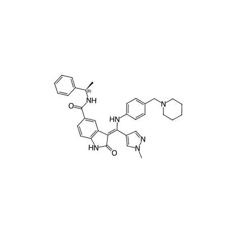 C[C@@H](NC(=O)c1ccc2c(c1)C(=C(Nc1ccc(CN3CCCCC3)cc1)c1cnn(C)c1)C(=O)N2)c1ccccc1